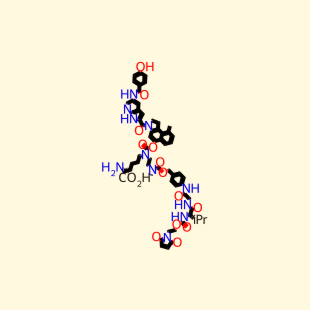 Cc1cccc2c(OC(=O)N(CCCC[C@H](N)C(=O)O)CCN(C)C(=O)OCc3ccc(NC(=O)CNC(=O)C(NC(=O)OCCN4C(=O)C=CC4=O)C(C)C)cc3)cc3c(c12)CCN3C(=O)c1cc2cc(NC(=O)c3ccc(O)cc3)cnc2[nH]1